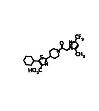 Cc1cc(C(F)(F)F)nn1CC(=O)N1CCC(c2nc(C(=O)O)c(C3CCCCC3)s2)CC1